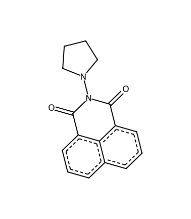 O=C1c2cccc3cccc(c23)C(=O)N1N1CCCC1